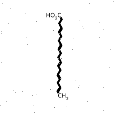 C/C=C/C/C=C/C/C=C/CC/C=C/CC/C=C/CCC(=O)O